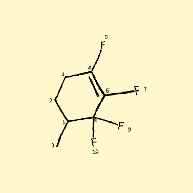 CC1CCC(F)=C(F)C1(F)F